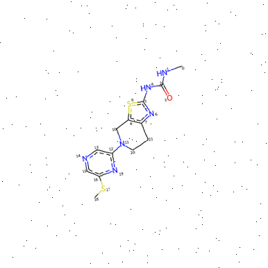 CNC(=O)Nc1nc2c(s1)CN(c1cncc(SC)n1)CC2